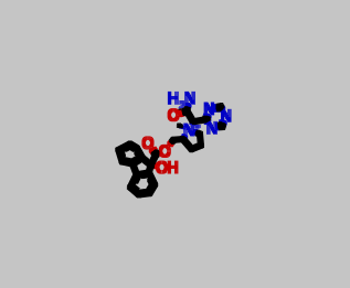 C[N@@+]1(C(C(N)=O)c2ncncn2)CCCC1COC(=O)C1(O)c2ccccc2-c2ccccc21